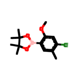 COc1cc(Cl)c(C)cc1B1OC(C)(C)C(C)(C)O1